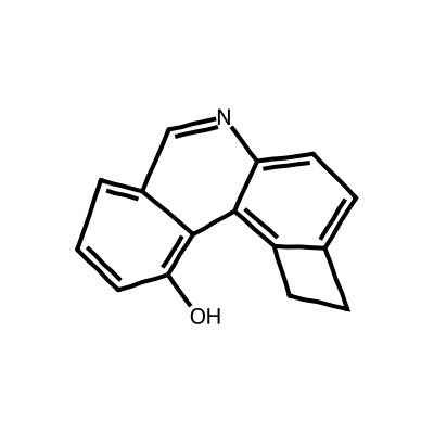 Oc1cccc2cnc3ccc4c(c3c12)CC4